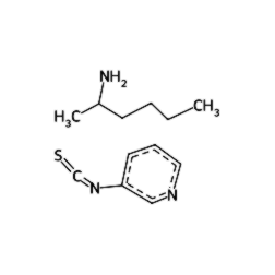 CCCCC(C)N.S=C=Nc1cccnc1